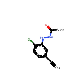 C#Cc1ccc(Cl)c(NNC(=O)OC)c1